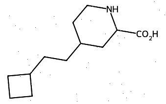 O=C(O)C1CC(CCC2CCC2)CCN1